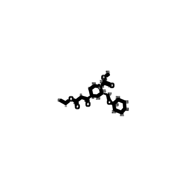 CCOC(=O)CC(=O)[C@H]1CCN(C(=O)OC)[C@H](COC2CCCCC2)C1